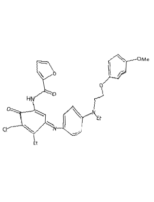 CCC1=C(Cl)C(=O)C(NC(=O)c2ccco2)=CC1=Nc1ccc(N(CC)CCOc2ccc(OC)cc2)cc1